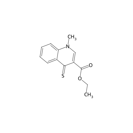 CCOC(=O)c1cn(C)c2ccccc2c1=S